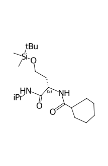 CC(C)NC(=O)[C@H](CCO[Si](C)(C)C(C)(C)C)NC(=O)C1CCCCC1